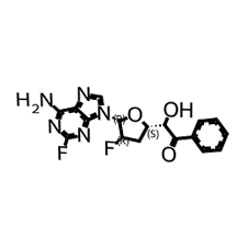 Nc1nc(F)nc2c1ncn2[C@@H]1O[C@H](C(O)C(=O)c2ccccc2)C[C@H]1F